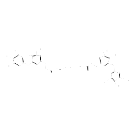 CC(C)(C)c1cc(CCC(=O)OCCOCCOC(=O)CCc2cc(Cc3cc(C(C)(C)C)c(O)c(C(C)(C)C)c3)c(O)c(C(C)(C)C)c2)cc(Cc2cc(C(C)(C)C)c(O)c(C(C)(C)C)c2)c1O